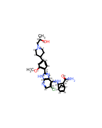 COc1cc(C2CCN(C[C@H](C)O)CC2)ccc1-c1nc2c(NC3C4C=CC(C4)C3C(N)=O)c(Cl)cnc2[nH]1